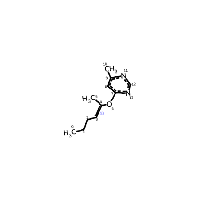 CCC/C=C(\C)Oc1cc(C)ncn1